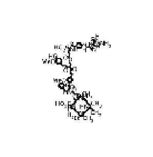 C=Cc1c(C)c2cc3nc(c(CC(=O)O)c4[nH]c(cc5nc(cc1[nH]2)C(C)=C5CC)c(C)c4C(=O)O)[C@@H](CCC(=O)N[C@@H](Cc1ccccc1)C(=O)Oc1ccc(/C=C/C(=O)C(CCOC(=O)CCC(NC(=O)c2ccc(NCc4cnc5nc(N)[nH]c(=O)c5n4)cc2)C(=O)O)C(=O)/C=C/c2ccc(O)c(OC)c2)cc1OC)C3C